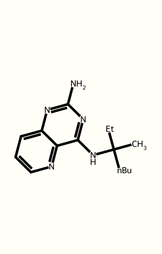 CCCCC(C)(CC)Nc1nc(N)nc2cccnc12